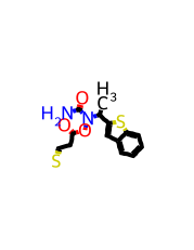 CC(c1cc2ccccc2s1)N(OC(=O)CC=S)C(N)=O